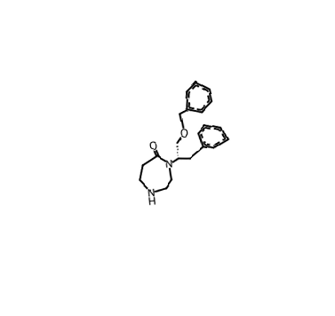 O=C1CCNCCN1[C@H](COCc1ccccc1)Cc1ccccc1